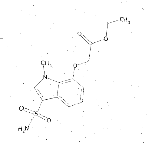 CCOC(=O)COc1cccc2c(S(N)(=O)=O)cn(C)c12